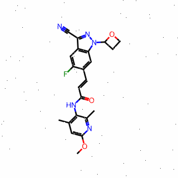 COc1cc(C)c(NC(=O)/C=C/c2cc3c(cc2F)c(C#N)nn3C2CCO2)c(C)n1